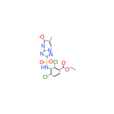 CCOC(=O)c1ccc(Cl)c(NS(=O)(=O)c2nc3nc(OC)c(C)cn3n2)c1Cl